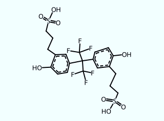 O=S(=O)(O)CCCc1cc(C(c2ccc(O)c(CCCS(=O)(=O)O)c2)(C(F)(F)F)C(F)(F)F)ccc1O